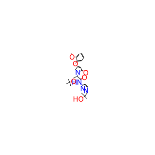 COc1ccccc1OC1=CC(=O)N(C(COC(C)(C)C)C(=O)Nc2ccn(CC(C)(C)O)n2)C1